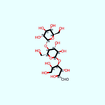 O=C[C@H](O)[C@@H](O)[C@H](O[C@H]1O[C@H](CO)[C@@H](O[C@H]2O[C@H](CO)[C@@H](O)[C@H](O)[C@H]2O)[C@H](O)[C@H]1O)[C@H](O)CO